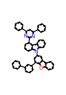 c1ccc(-c2cccc(-c3cc(-n4c5ccccc5c5c(-c6nc(-c7ccccc7)cc(-c7ccccc7)n6)cccc54)cc4c3oc3ccccc34)c2)cc1